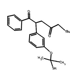 CC(C)(C)CC(=O)CC(C(=O)c1ccccc1)c1cccc(OC(C)(C)S)c1